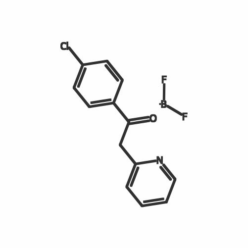 F[B]F.O=C(Cc1ccccn1)c1ccc(Cl)cc1